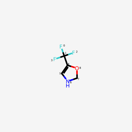 FC(F)(F)C1=[C]NCO1